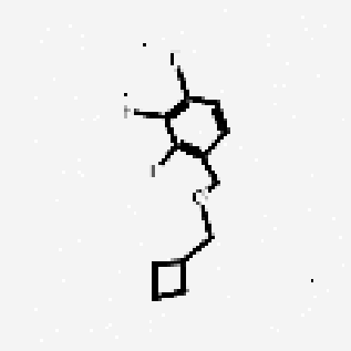 Fc1ccc(COCC2CCC2)c(F)c1F